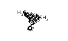 CC(=O)SCCN(CCc1ccccc1)C(=O)N[C@H](C(=O)N1CCN(C)CC1)C(C)C